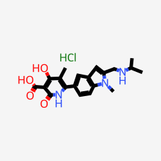 Cc1c(-c2ccc3c(c2)cc(CNC(C)C)n3C)[nH]c(=O)c(C(=O)O)c1O.Cl